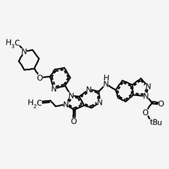 C=CCn1c(=O)c2cnc(Nc3ccc4c(cnn4C(=O)OC(C)(C)C)c3)nc2n1-c1cccc(OC2CCN(C)CC2)n1